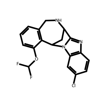 FC(F)Oc1cccc2c1C1CC(NC2)c2nc3ccc(Cl)cc3n21